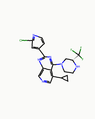 FC(F)(F)[C@H]1CN(c2nc(-c3ccnc(Cl)c3)nc3cncc(C4CC4)c23)CCN1